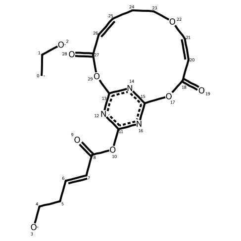 [CH2]C[O].[O]CCC=CC(=O)Oc1nc2nc(n1)OC(=O)C=COCCC=CC(=O)O2